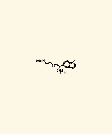 CNCCOCC(O)c1ccc2sccc2c1.Cl